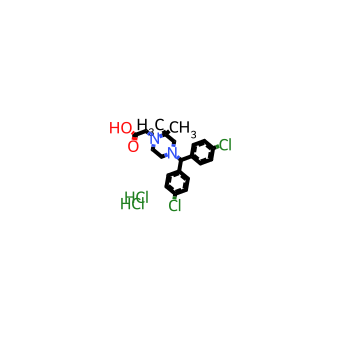 CC1(C)CN(C(c2ccc(Cl)cc2)c2ccc(Cl)cc2)CCN1CC(=O)O.Cl.Cl